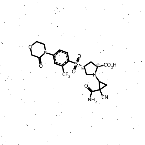 N#CC1(C(N)=O)CC1N1C[C@H](S(=O)(=O)c2ccc(N3CCOCC3=O)cc2C(F)(F)F)C[C@H]1C(=O)O